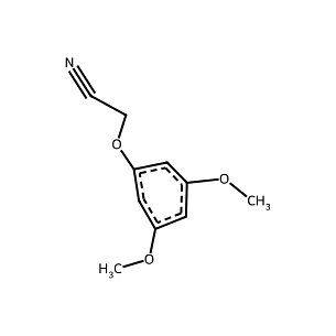 COc1cc(OC)cc(OCC#N)c1